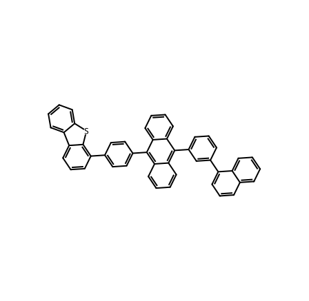 c1cc(-c2cccc3ccccc23)cc(-c2c3ccccc3c(-c3ccc(-c4cccc5c4sc4ccccc45)cc3)c3ccccc23)c1